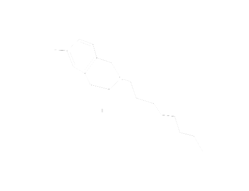 Br.CCCCCCCCN1CCc2cc(O)ccc2C1